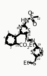 CCOC(=O)c1ccccc1-c1nc(NS(C)(=O)=O)sc1/N=N/c1nnc(SCC)s1